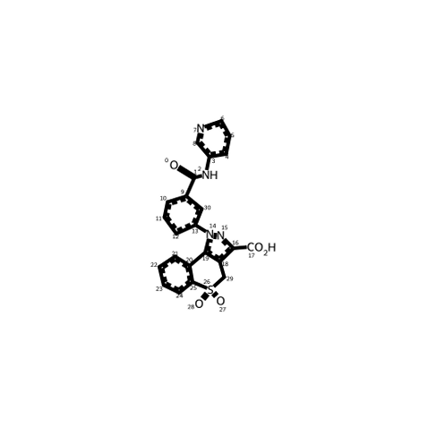 O=C(Nc1cccnc1)c1cccc(-n2nc(C(=O)O)c3c2-c2ccccc2S(=O)(=O)C3)c1